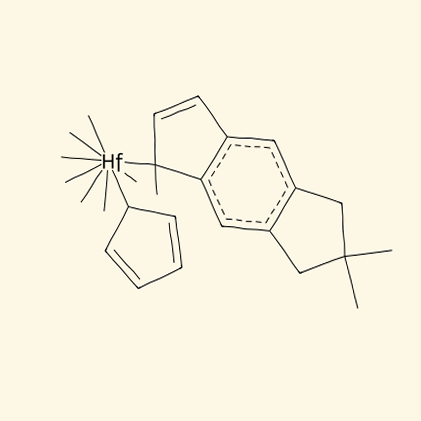 CC1(C)Cc2cc3c(cc2C1)[C](C)([Hf]([CH3])([CH3])([CH3])([CH3])([CH3])([CH3])([CH3])[CH]1C=CC=C1)C=C3